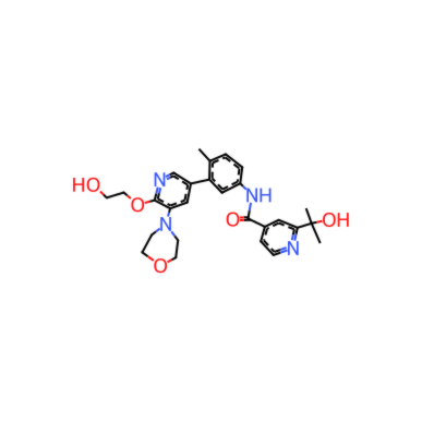 Cc1ccc(NC(=O)c2ccnc(C(C)(C)O)c2)cc1-c1cnc(OCCO)c(N2CCOCC2)c1